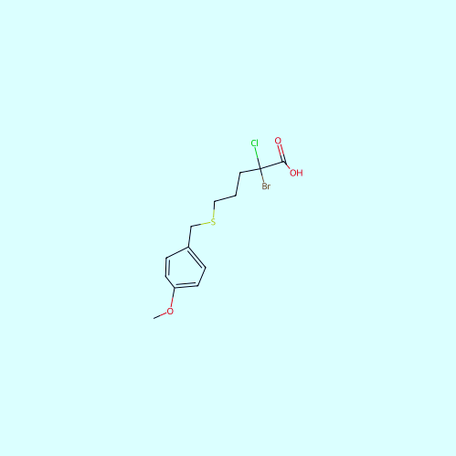 COc1ccc(CSCCCC(Cl)(Br)C(=O)O)cc1